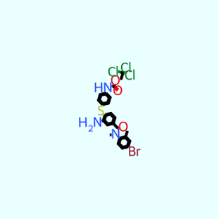 Cc1cc(Br)ccc1N(C)C(=O)c1ccc(Sc2ccc(NC(=O)OCC(Cl)(Cl)Cl)cc2)c(N)c1